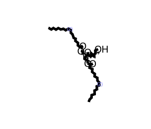 CCCCCCCC/C=C\CCCCCCCC(=O)OCCN(CCOC(=O)CCCCCCC/C=C\CCCCCCCC)C(=O)C[N+](C)(C)CCO